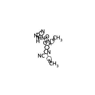 C[C@H]1CC[C@H](c2ccc3cc(C#N)c(C4CCN(C)CC4)nc3c2)N(C(=O)C(=O)Nc2cncc3cn[nH]c23)C1